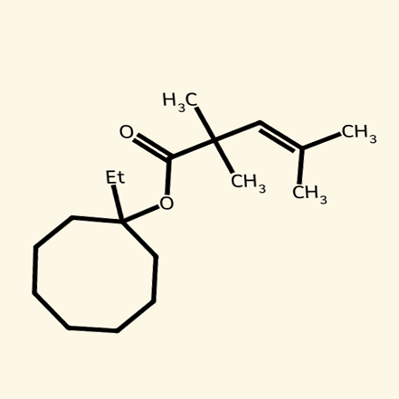 CCC1(OC(=O)C(C)(C)C=C(C)C)CCCCCCC1